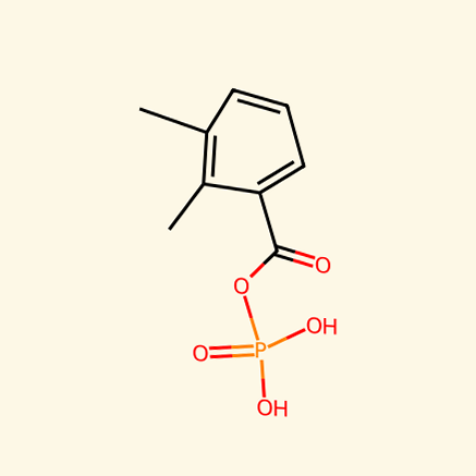 Cc1cccc(C(=O)OP(=O)(O)O)c1C